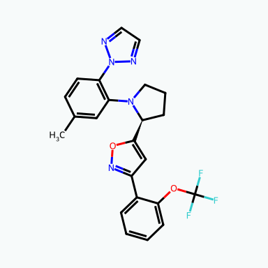 Cc1ccc(-n2nccn2)c(N2CCC[C@H]2c2cc(-c3ccccc3OC(F)(F)F)no2)c1